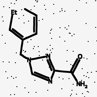 C/C=C\C(=C/CC)Cn1cnc(C(N)=O)n1